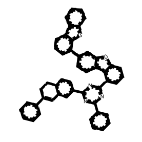 C1=C(c2ccccc2)CCc2ccc(-c3nc(-c4ccccc4)nc(-c4cccc5oc6cc(-c7cccc8c7sc7ccccc78)ccc6c45)n3)cc21